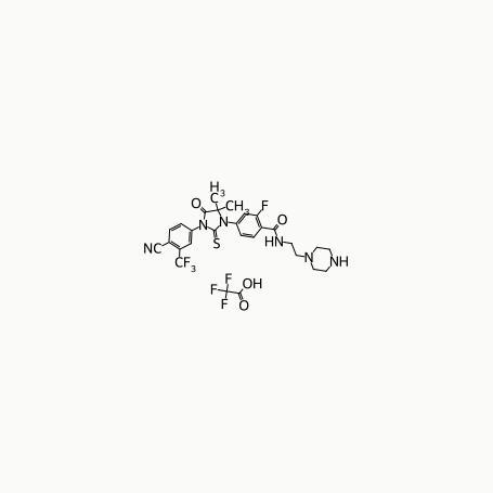 CC1(C)C(=O)N(c2ccc(C#N)c(C(F)(F)F)c2)C(=S)N1c1ccc(C(=O)NCCN2CCNCC2)c(F)c1.O=C(O)C(F)(F)F